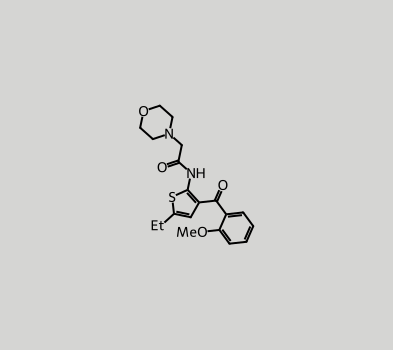 CCc1cc(C(=O)c2ccccc2OC)c(NC(=O)CN2CCOCC2)s1